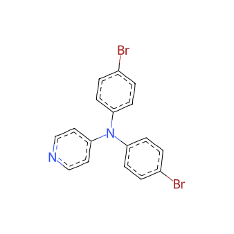 Brc1ccc(N(c2ccncc2)c2ccc(Br)cc2)cc1